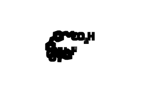 CC(C(=O)Nc1cc(Cc2ccc(CCCC(=O)O)cc2)ccc1O)c1ccc(F)cc1